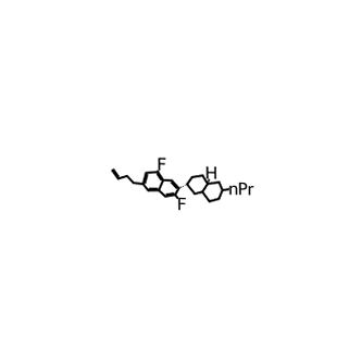 C=CCCc1cc(F)c2cc([C@@H]3CC[C@@H]4CC(CCC)CCC4C3)c(F)cc2c1